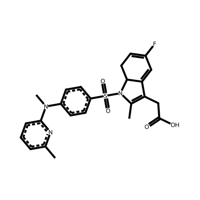 CC1=C(CC(=O)O)C2=CC(F)=CCC2N1S(=O)(=O)c1ccc(N(C)c2cccc(C)n2)cc1